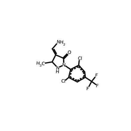 CC1NN(c2c(Cl)cc(C(F)(F)F)cc2Cl)C(=O)C1=CN